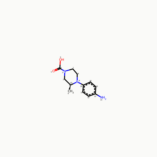 C[C@H]1CN(C(=O)O)CCN1c1ccc(N)cc1